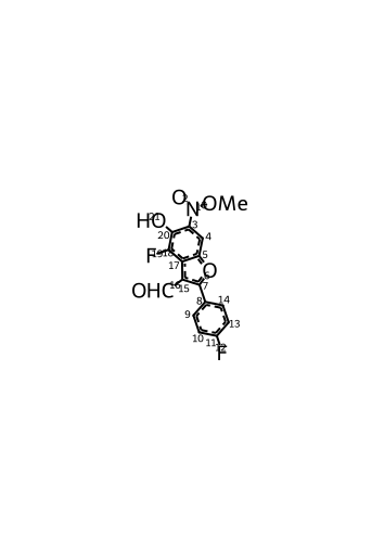 CO[N+](=O)c1cc2oc(-c3ccc(F)cc3)c(C=O)c2c(F)c1O